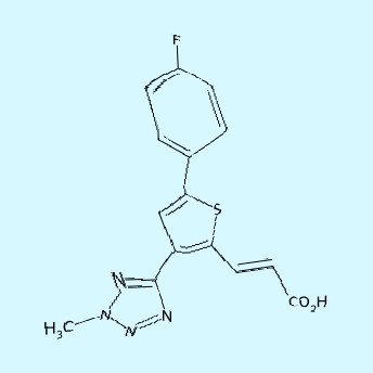 Cn1nnc(-c2cc(-c3ccc(F)cc3)sc2C=CC(=O)O)n1